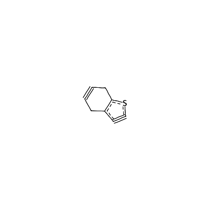 C1#CCc2sc#cc2C1